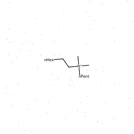 CCCCCCCC[N+](C)(C)CCCCC